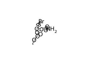 C=CCOCCOc1ccc2c(c1OC)-c1ccc(CS(N)(=O)=O)cc1C(c1ccc(Br)s1)O2